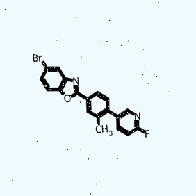 Cc1cc(-c2nc3cc(Br)ccc3o2)ccc1-c1ccc(F)nc1